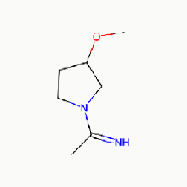 COC1CCN(C(C)=N)C1